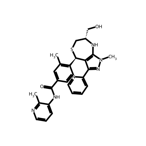 Cc1cc(C(=O)Nc2cccnc2C)ccc1[C@H]1SC[C@H](CO)Nc2c1c(-c1ccccn1)nn2C